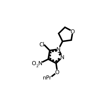 C[CH]COc1nn(C2CCOC2)c(Cl)c1[N+](=O)[O-]